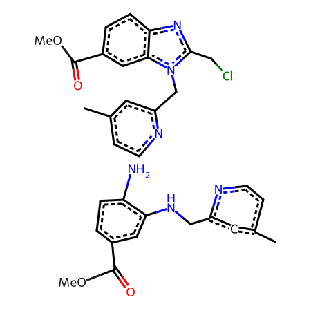 COC(=O)c1ccc(N)c(NCc2cc(C)ccn2)c1.COC(=O)c1ccc2nc(CCl)n(Cc3cc(C)ccn3)c2c1